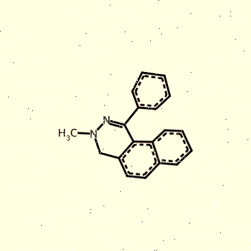 CN1Cc2ccc3ccccc3c2C(c2ccccc2)=N1